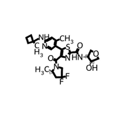 Cc1cc(NC2(C)CCC2)ncc1-c1sc(C(=O)N[C@@H]2COC[C@@H]2O)nc1C(=O)N1CC(F)(F)C[C@@H]1C